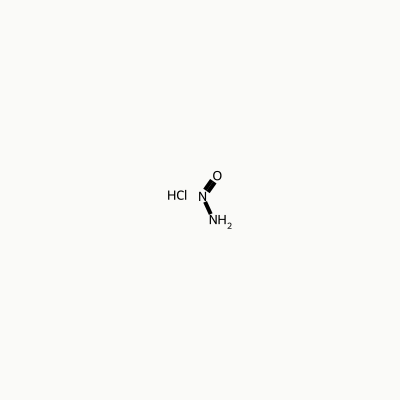 Cl.NN=O